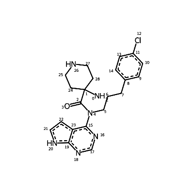 NC1(C(=O)N(CCCc2ccc(Cl)cc2)c2ncnc3[nH]ccc23)CCNCC1